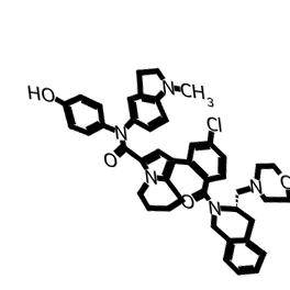 CN1CCc2cc(N(C(=O)c3cc(-c4cc(Cl)ccc4C(=O)N4Cc5ccccc5C[C@H]4CN4CCOCC4)c4n3CCCC4)c3ccc(O)cc3)ccc21